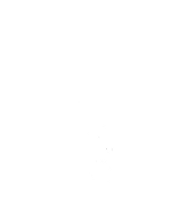 CCCC(CCl)Oc1ccc(Oc2ccccc2)cc1